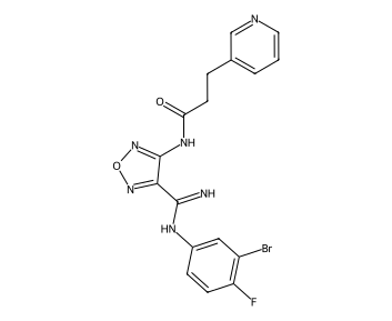 N=C(Nc1ccc(F)c(Br)c1)c1nonc1NC(=O)CCc1cccnc1